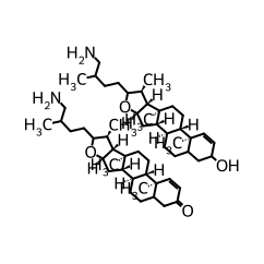 CC(CN)CCC1O[C@H]2C[C@H]3[C@@H]4CCC5CC(=O)C=C[C@]5(C)[C@H]4CC[C@]3(C)[C@H]2[C@@H]1C.CC(CN)CCC1O[C@H]2C[C@H]3[C@@H]4CCC5CC(O)C=C[C@]5(C)[C@H]4CC[C@]3(C)[C@H]2[C@@H]1C